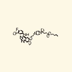 CCCCCOC(=O)CCC(=O)N1CCN(CCCOc2cc3c(Nc4ccc(F)c(Cl)c4)ncnc3cc2OC)CC1